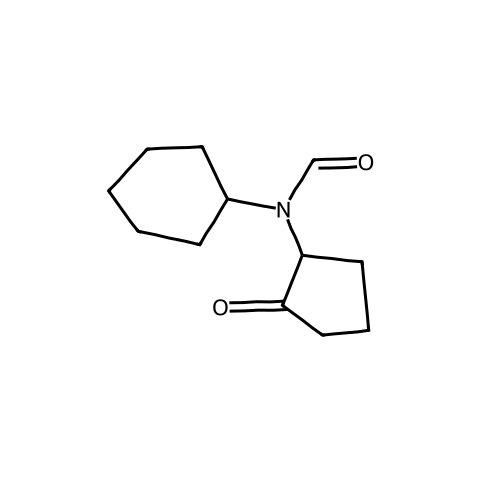 O=CN(C1CCCCC1)C1CCCC1=O